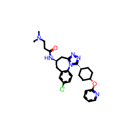 CN(C)CCC(=O)N[C@@H]1Cc2cc(Cl)ccc2-n2c(nnc2[C@H]2CC[C@H](Oc3ccccn3)CC2)C1